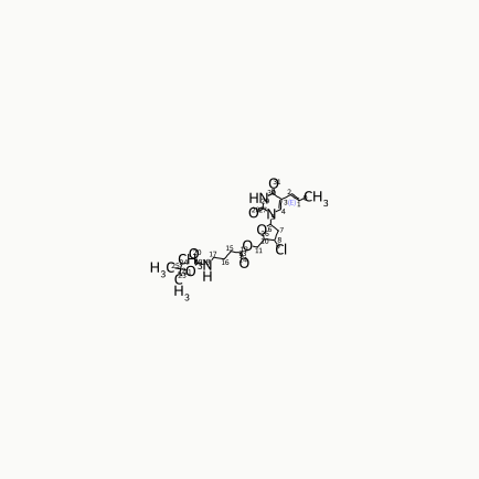 C/C=C/c1cn(C2CC(Cl)C(COC(=O)CCCNC(=O)OC(C)(C)C)O2)c(=O)[nH]c1=O